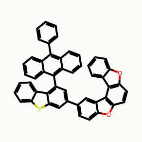 c1ccc(-c2c3ccccc3c(-c3cc(-c4ccc5oc6ccc7oc8ccccc8c7c6c5c4)cc4sc5ccccc5c34)c3ccccc23)cc1